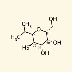 CC(C)[C]1O[C@H](CO)[C@H](O)[C@H](O)[C@H]1S